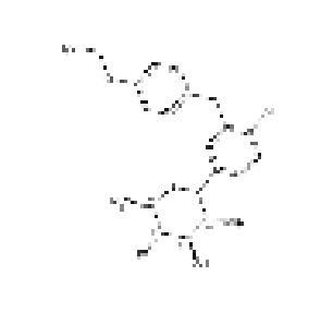 CCOc1ccc(Cc2cc(C3O[C@H](C)[C@@H](O)[C@H](O)[C@H]3O)ccc2Cl)cc1